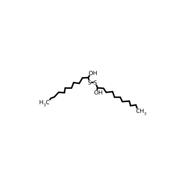 CCCCCCCCCCC(O)SSC(O)CCCCCCCCCC